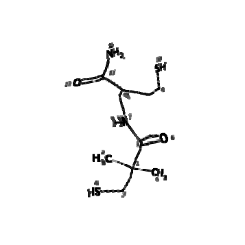 CC(C)(CS)C(=O)NC(CS)C(N)=O